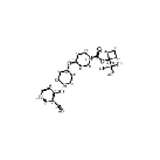 N#Cc1cnccc1O[C@H]1CC[C@H](OC2CCN(C(=O)OC3(C(F)(F)F)CCC3)CC2)CC1